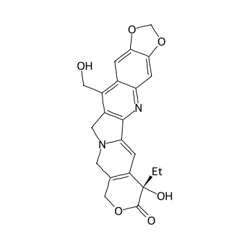 CC[C@@]1(O)C(=O)OCC2=C1C=C1c3nc4cc5c(cc4c(CO)c3CN1C2)OCO5